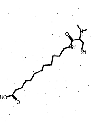 CN(C)C(CS)C(=O)NCCCCCCCCCCCC(=O)O